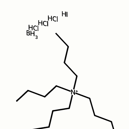 B.CCCC[N+](CCCC)(CCCC)CCCC.Cl.Cl.Cl.I